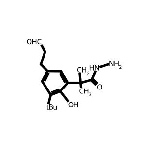 CC(C)(C)c1cc(CCC=O)cc(C(C)(C)C(=O)NN)c1O